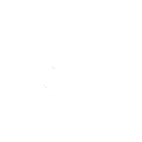 CCOC(=O)C1N2C=CC=CC2=NC1(Br)SC